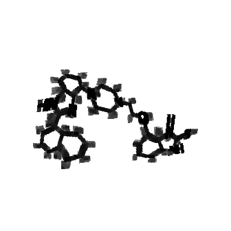 S=c1[nH]c2cccc(OCCN3CCN(c4cccc5[nH]c(-c6cccc7ccccc67)nc45)CC3)c2[nH]1